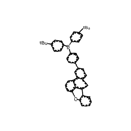 CC(C)(C)c1ccc(B(c2ccc(-c3ccc4cc5c6c(cccc6c4c3)Oc3ccccc3-5)cc2)c2ccc(C(C)(C)C)cc2)cc1